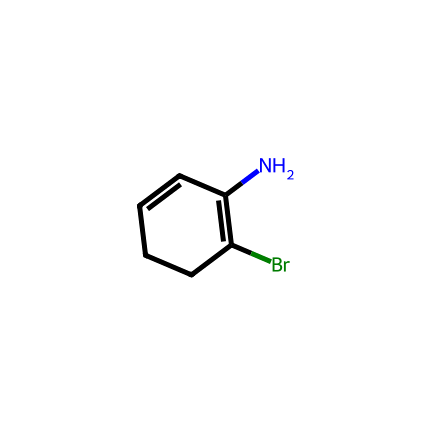 NC1=C(Br)CCC=C1